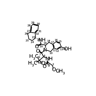 COCC(=O)NC(C(=O)N1Cc2cc(O)ccc2CC1C(=O)N[C@@H]1CCCc2ccccc21)C(C)(C)C